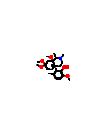 COc1ccc(C)c([C@@]23CCN(C)C(C)C2(OC)CC(OC)(OC)CC3)c1O